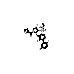 CCS(=O)(=O)N[C@H]1[C@@H](F)CN(C(=O)C2CCO2)[C@H]1Cc1cccc(-c2cc(F)ccc2F)c1F